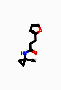 CC(C)(C)C1(NC(=O)CCc2ccco2)CC1